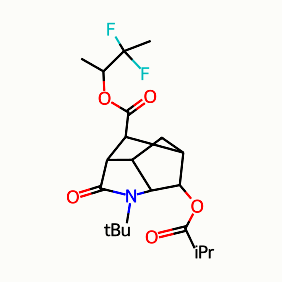 CC(C)C(=O)OC1C2CC3C(C(=O)N(C(C)(C)C)C31)C2C(=O)OC(C)C(C)(F)F